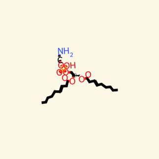 CCCCCC=CCC(=O)OC[C@H](COP(=O)(O)OCCN)OC(=O)CC=CCCCCC